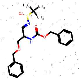 CC(C)(C)[S@@+]([O-])N=CC(COCc1ccccc1)NC(=O)OCc1ccccc1